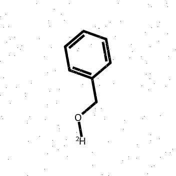 [2H]OCc1ccccc1